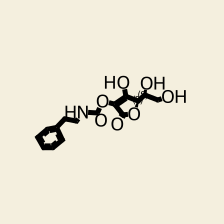 O=C(NCCc1ccccc1)OC1=C(O)[C@@H]([C@@H](O)CO)OC1=O